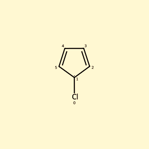 Cl[C]1C=CC=C1